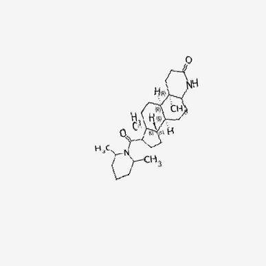 CC1CCCC(C)N1C(=O)C1CC[C@H]2[C@@H]3CCC4NC(=O)CC[C@]4(C)[C@@H]3CC[C@]12C